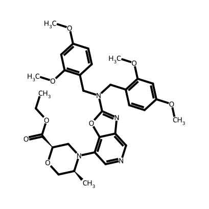 CCOC(=O)[C@H]1CN(c2cncc3nc(N(Cc4ccc(OC)cc4OC)Cc4ccc(OC)cc4OC)oc23)[C@@H](C)CO1